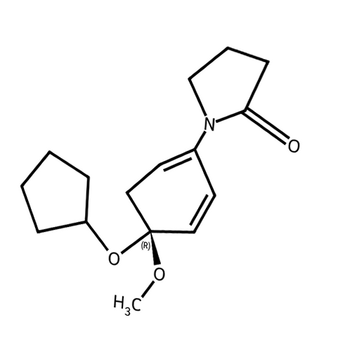 CO[C@]1(OC2CCCC2)C=CC(N2CCCC2=O)=CC1